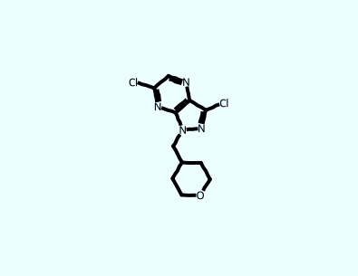 Clc1cnc2c(Cl)nn(CC3CCOCC3)c2n1